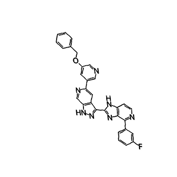 Fc1cccc(-c2nccc3[nH]c(-c4n[nH]c5cnc(-c6cncc(OCc7ccccc7)c6)cc45)nc23)c1